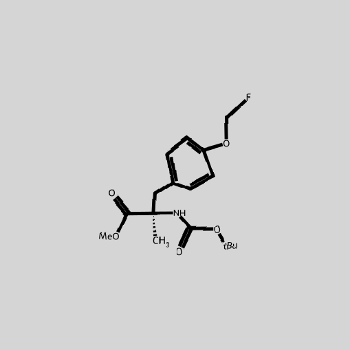 COC(=O)[C@@](C)(Cc1ccc(OCF)cc1)NC(=O)OC(C)(C)C